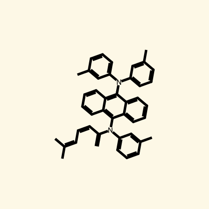 C=C(/C=C\C=C(C)C)N(c1cccc(C)c1)c1c2ccccc2c(N(c2cccc(C)c2)c2cccc(C)c2)c2ccccc12